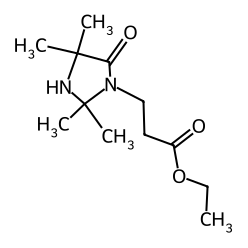 CCOC(=O)CCN1C(=O)C(C)(C)NC1(C)C